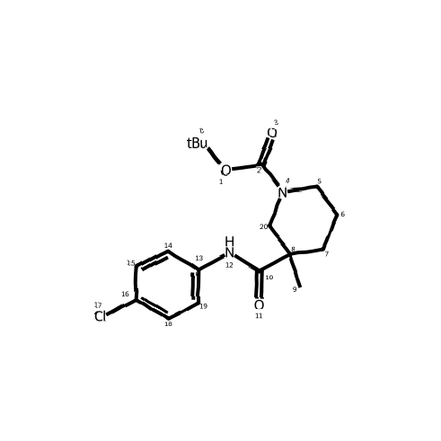 CC(C)(C)OC(=O)N1CCCC(C)(C(=O)Nc2ccc(Cl)cc2)C1